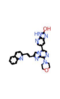 Oc1nc2cc(-c3cnc(N4CCOCC4)c4nc(C=Cc5ccc6ccccc6n5)cn34)cnc2[nH]1